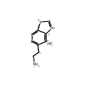 Cl.NCCc1ccc2scnc2c1